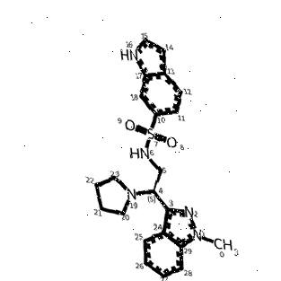 Cn1nc([C@H](CNS(=O)(=O)c2ccc3cc[nH]c3c2)N2CCCC2)c2ccccc21